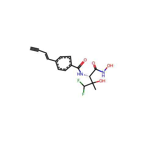 C#C/C=C/c1ccc(C(=O)N[C@H](C(=O)NO)C(C)(O)C(F)F)cc1